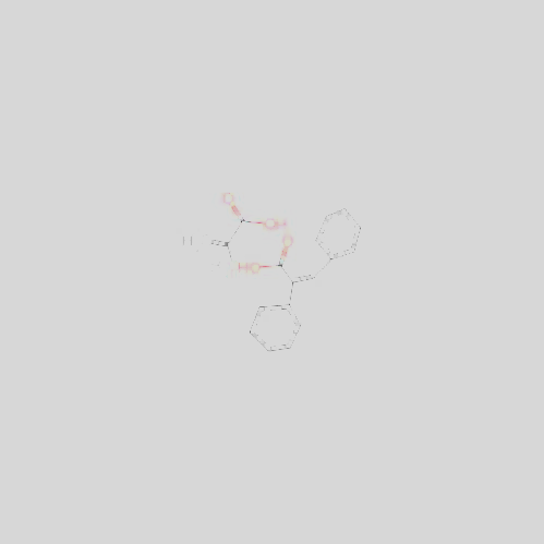 C=C(C)C(=O)O.O=C(O)C(=Cc1ccccc1)c1ccccc1